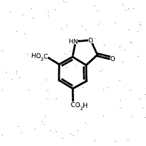 O=C(O)c1cc(C(=O)O)c2[nH]oc(=O)c2c1